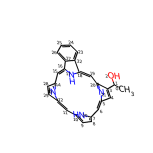 CC(O)C1=Cc2cc3ccc(cc4nc(cc5[nH]c(cc1n2)c1ccccc51)C=C4)[nH]3